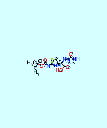 CC(C)(C)OC(=O)N=c1[nH]c(C(=NN2CCNC2=O)C(=O)O)cs1